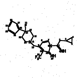 N=C(CC1CC1)n1ccc(CN2CCC(F)(c3ccccc3)CC2)c(C(F)(F)F)c1=N